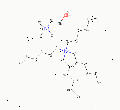 CCCCCC[N+](CCCCCC)(CCCCCC)CCCCCC.C[N+](C)(C)CCO